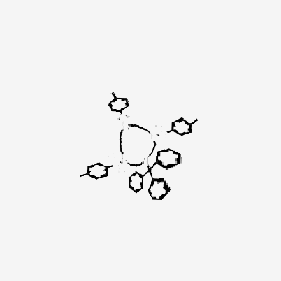 Cc1ccc(S(=O)(=O)N2CCN(C(c3ccccc3)(c3ccccc3)c3ccccc3)CCN(S(=O)(=O)c3ccc(C)cc3)CCN(S(=O)(=O)c3ccc(C)cc3)CC2)cc1